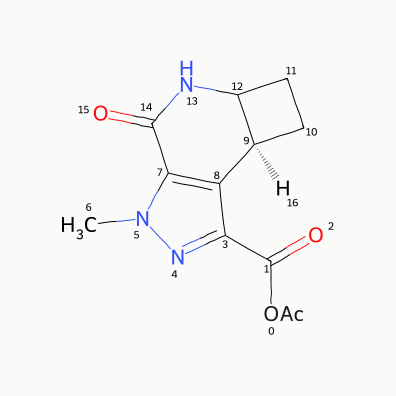 CC(=O)OC(=O)c1nn(C)c2c1[C@@H]1CCC1NC2=O